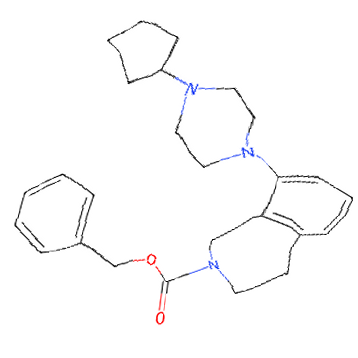 O=C(OCc1ccccc1)N1CCc2cccc(N3CCN(C4CCCC4)CC3)c2C1